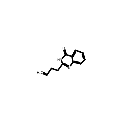 C=CCCc1nc2ccccc2c(=O)[nH]1